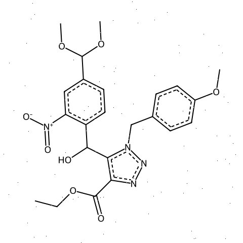 CCOC(=O)c1nnn(Cc2ccc(OC)cc2)c1C(O)c1ccc(C(OC)OC)cc1[N+](=O)[O-]